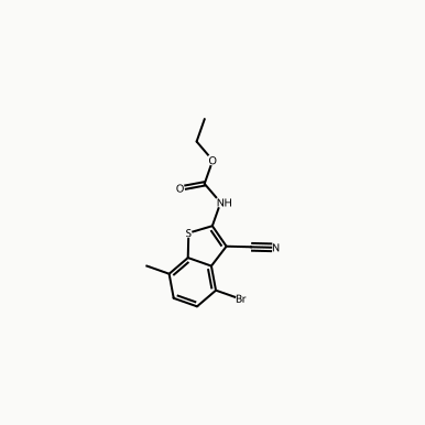 CCOC(=O)Nc1sc2c(C)ccc(Br)c2c1C#N